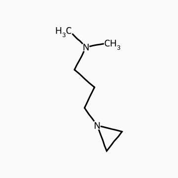 CN(C)CCCN1CC1